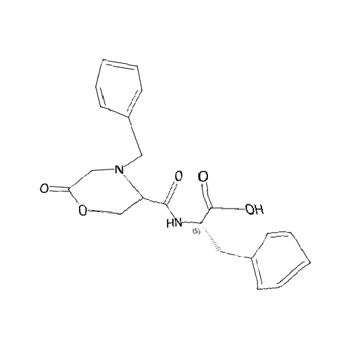 O=C1CN(Cc2ccccc2)C(C(=O)N[C@@H](Cc2ccccc2)C(=O)O)CO1